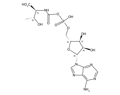 C[C@@H](O)[C@H](NC(=O)OP(=O)(O)OC[C@H]1O[C@@H](n2cnc3c(N)ncnc32)[C@H](O)[C@@H]1O)C(=O)O